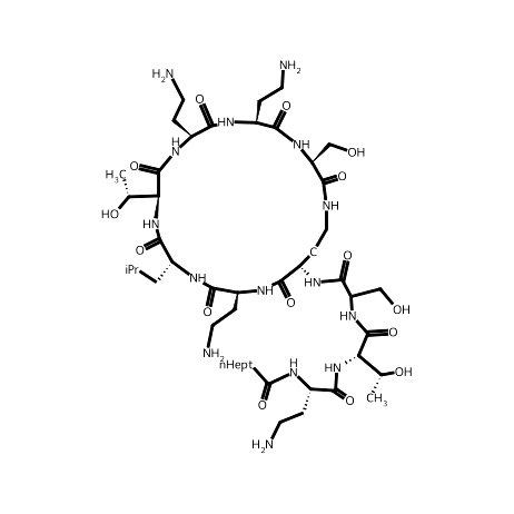 CCCCCCCC(=O)N[C@@H](CCN)C(=O)N[C@H](C(=O)NC(CO)C(=O)N[C@H]1CCNC(=O)[C@H](CO)NC(=O)[C@H](CCN)NC(=O)[C@H](CCN)NC(=O)[C@H]([C@@H](C)O)NC(=O)[C@@H](CC(C)C)NC(=O)[C@H](CCN)NC1=O)[C@@H](C)O